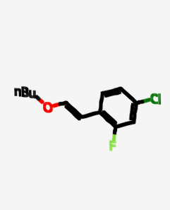 CCCCO/C=C/c1ccc(Cl)cc1F